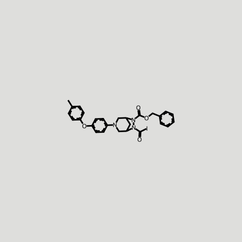 Cc1ccc(Oc2ccc(N3CC4CC(C3)N(C(=O)OCc3ccccc3)N4C(=O)I)cc2)cc1